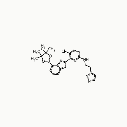 CC1(C)OB(c2cccc3cc(-c4nc(NCCn5ccnn5)ncc4Cl)sc23)OC1(C)C